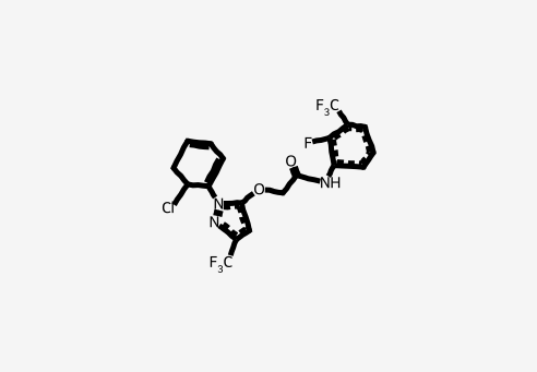 O=C(COc1cc(C(F)(F)F)nn1C1=CC=CCC1Cl)Nc1cccc(C(F)(F)F)c1F